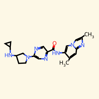 Cc1cn2cc(NC(=O)c3cnc(N4CCC(NC5CC5)C4)cn3)c(C)cc2n1